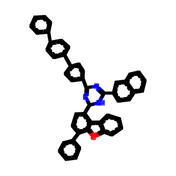 c1ccc(-c2ccc(-c3ccc(C4=NC(c5ccc(-c6ccccc6)c6oc7ccccc7c56)NC(c5ccc6ccccc6c5)=N4)cc3)cc2)cc1